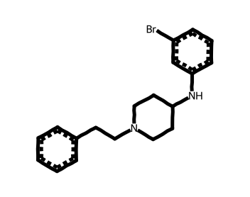 Brc1cccc(NC2CCN(CCc3ccccc3)CC2)c1